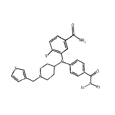 CCN(CC)C(=O)c1ccc(N(c2cc(C(N)=O)ccc2F)C2CCN(Cc3ccsc3)CC2)cc1